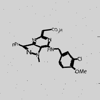 CCCc1nn(C)c2c(NCc3ccc(OC)c(Cl)c3)nc(CC(=O)O)nc12